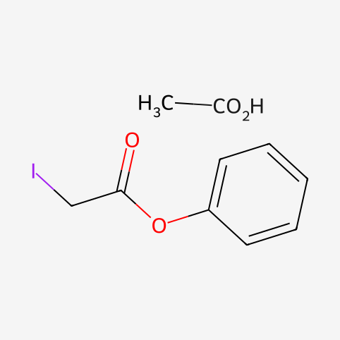 CC(=O)O.O=C(CI)Oc1ccccc1